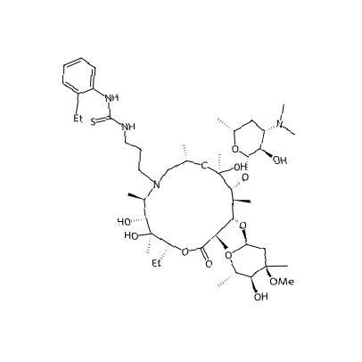 CCc1ccccc1NC(=S)NCCCN1C[C@H](C)C[C@@](C)(O)[C@H](O[C@@H]2O[C@H](C)C[C@H](N(C)C)[C@H]2O)[C@@H](C)[C@H](O[C@H]2C[C@@](C)(OC)[C@@H](O)[C@H](C)O2)[C@@H](C)C(=O)O[C@H](CC)[C@@](C)(O)[C@H](O)[C@H]1C